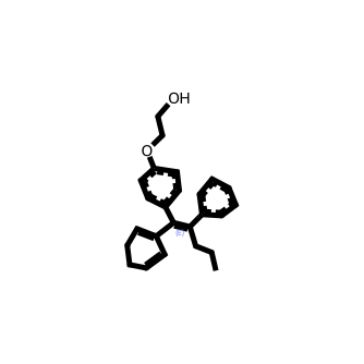 CCC/C(=C(\C1=CCCC=C1)c1ccc(OCCO)cc1)c1ccccc1